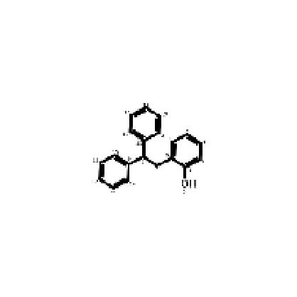 Oc1ccccc1CC(c1ccccc1)c1ccccc1